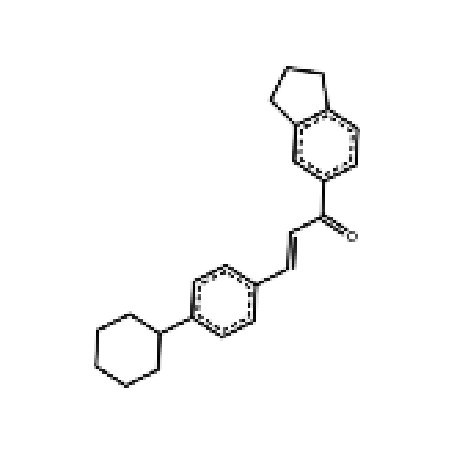 O=C(C=Cc1ccc(C2CCCCC2)cc1)c1ccc2c(c1)CCC2